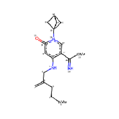 C=C(CCNC)CNc1cc(=O)n(C23CC(C2)C3)cc1C(=N)OC